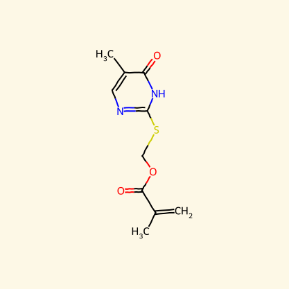 C=C(C)C(=O)OCSc1ncc(C)c(=O)[nH]1